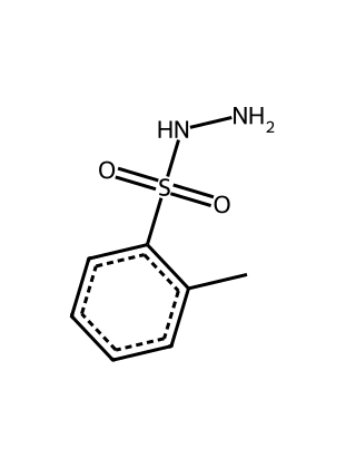 Cc1ccccc1S(=O)(=O)NN